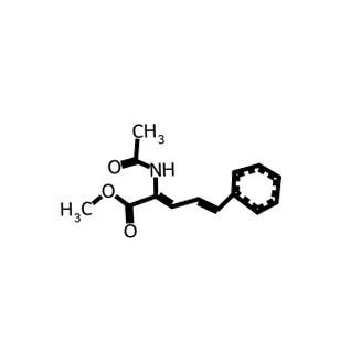 COC(=O)/C(=C/C=C/c1ccccc1)NC(C)=O